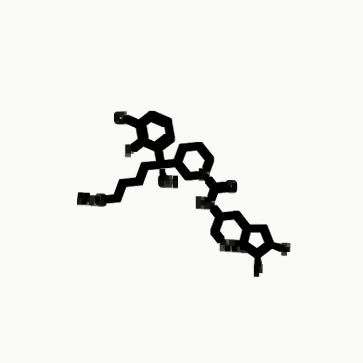 CNCC(CC1C[C@@H](F)[C@@H](F)C1)NC(=O)N1CCCC([C@@](O)(CCCCOC)c2cccc(Cl)c2F)C1